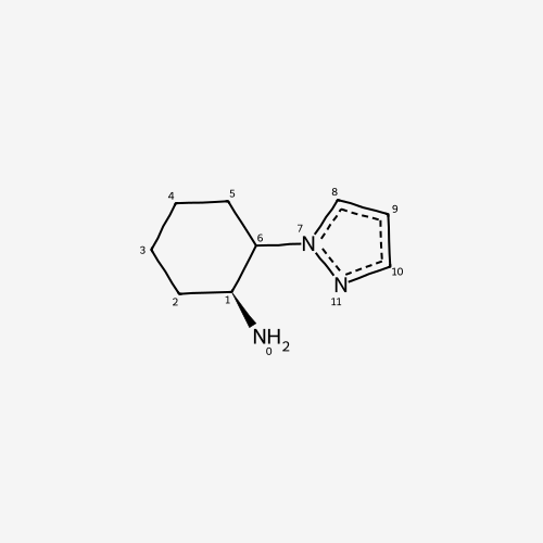 N[C@H]1CCCCC1n1cccn1